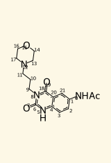 CC(=O)Nc1ccc2[nH]c(=O)n(CCCN3CCOCC3)c(=O)c2c1